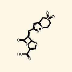 O=C(O)C1=CSC2/C(=C\c3cc4n(n3)CCS(=O)(=O)C4)C(=O)N12